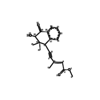 COC(=O)C=C(C)C#CC1c2ccccc2C(=O)C(O)C1(C)C